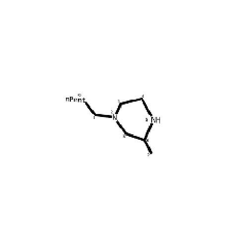 CCCCCCN1CCNC(C)C1